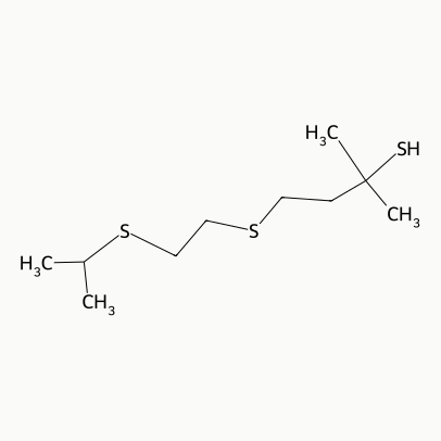 CC(C)SCCSCCC(C)(C)S